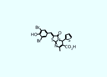 CC1=C(C(=O)O)C(c2cccs2)n2c(s/c(=C\c3cc(Br)c(O)c(Br)c3)c2=O)=N1